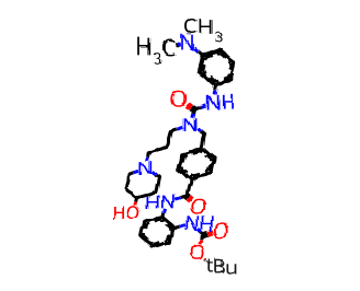 CN(C)c1cccc(NC(=O)N(CCCN2CCC(O)CC2)Cc2ccc(C(=O)Nc3ccccc3NC(=O)OC(C)(C)C)cc2)c1